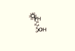 C=C(O)CCCCCPc1ccccc1